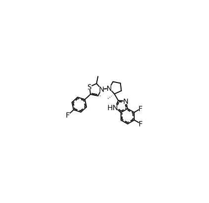 CC1SC(c2ccc(F)cc2)=[C]N1N1CCC[C@@]1(C)c1nc2c(F)c(F)ccc2[nH]1